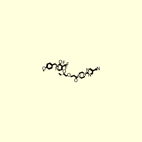 CC[C@@H](COCCC(=O)N1CCN(c2ncc(C#N)cn2)CC1)Oc1cnn(Cc2ccc(OC)cc2)c(=O)c1C(F)(F)F